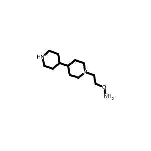 NOCCN1CCC(C2CCNCC2)CC1